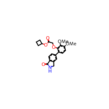 COc1ccc(-c2ccc3c(c2)CNC3=O)c(OCC(=O)OC2CCC2)c1OC